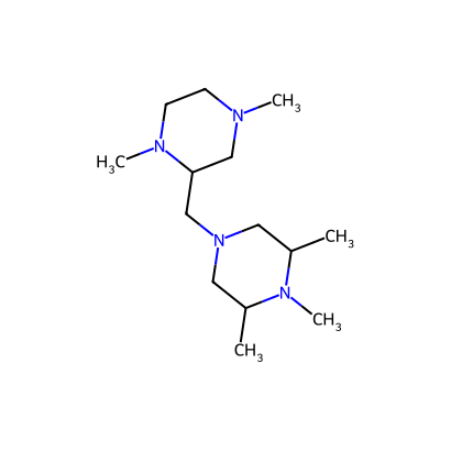 CC1CN(CC2CN(C)CCN2C)CC(C)N1C